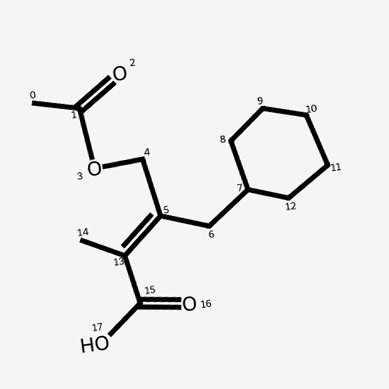 CC(=O)OCC(CC1CCCCC1)=C(C)C(=O)O